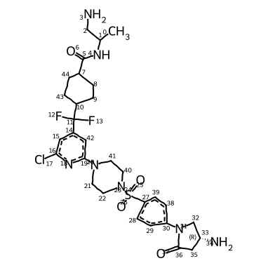 CC(CN)NC(=O)C1CCC(C(F)(F)c2cc(Cl)nc(N3CCN(S(=O)(=O)c4ccc(N5C[C@H](N)CC5=O)cc4)CC3)c2)CC1